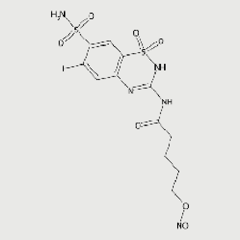 NS(=O)(=O)c1cc2c(cc1I)N=C(NC(=O)CCCCON=O)NS2(=O)=O